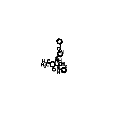 C=C(Nc1ccccc1)C1=C(NCc2ccnc(OCc3ccccc3)c2)CC(C)(C)CC1=O